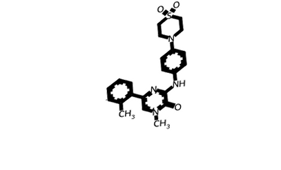 Cc1[c]cccc1-c1cn(C)c(=O)c(Nc2ccc(N3CCS(=O)(=O)CC3)cc2)n1